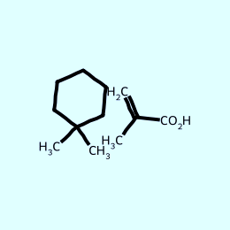 C=C(C)C(=O)O.CC1(C)CCCCC1